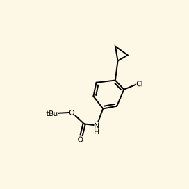 CC(C)(C)OC(=O)Nc1ccc(C2CC2)c(Cl)c1